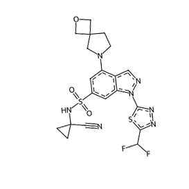 N#CC1(NS(=O)(=O)c2cc(N3CCC4(COC4)C3)c3cnn(-c4nnc(C(F)F)s4)c3c2)CC1